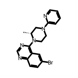 C[C@@H]1CN(c2ccccn2)CCN1c1ncnc2ccc(Br)cc12